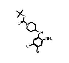 CC(C)(C)OC(=O)N1CCC(Nc2cc(Cl)c(Br)cc2N)CC1